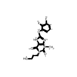 Cn1c(=O)n(CCCO)c(=O)c2[nH]c(Oc3cccc(F)c3F)nc21